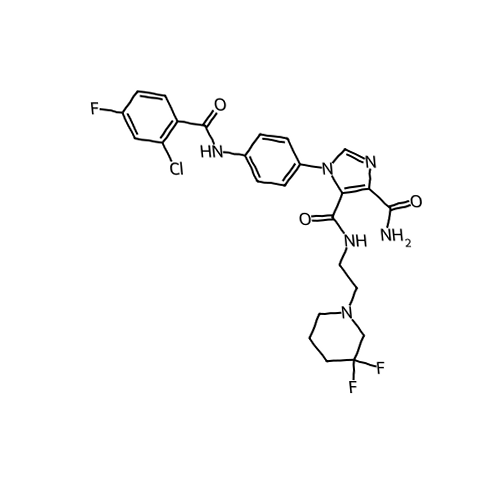 NC(=O)c1ncn(-c2ccc(NC(=O)c3ccc(F)cc3Cl)cc2)c1C(=O)NCCN1CCCC(F)(F)C1